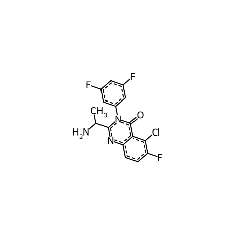 CC(N)c1nc2ccc(F)c(Cl)c2c(=O)n1-c1cc(F)cc(F)c1